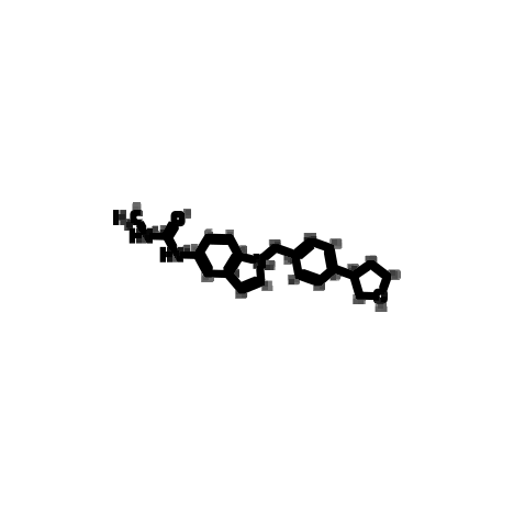 CNC(=O)Nc1ccc2c(ccn2Cc2ccc(C3CCOC3)cc2)c1